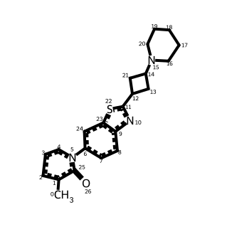 Cc1cccn(-c2ccc3nc(C4CC(N5CCCCC5)C4)sc3c2)c1=O